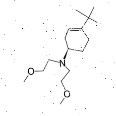 COCCN(CCOC)[C@H]1CC=C(C(C)(C)C)CC1